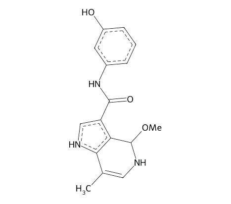 COC1NC=C(C)c2[nH]cc(C(=O)Nc3cccc(O)c3)c21